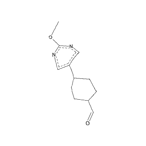 COc1ncc(C2CCC(C=O)CC2)cn1